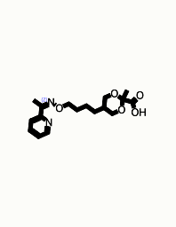 C/C(=N/OCCCCC1COC(C)(C(=O)O)OC1)c1ccccn1